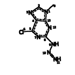 Cn1cnc2c(Cl)nc(NN=N)nc21